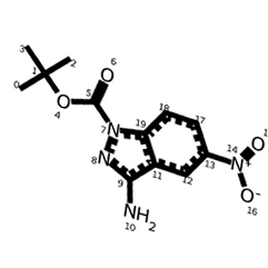 CC(C)(C)OC(=O)n1nc(N)c2cc([N+](=O)[O-])ccc21